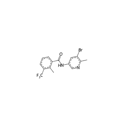 Cc1ncc(NC(=O)c2cccc(C(F)(F)F)c2C)cc1Br